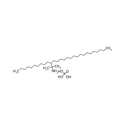 CCCCCCCCCCCCCCCCCC(CCCCCCCCCC)C(C)(C)N.O=P(O)(O)O